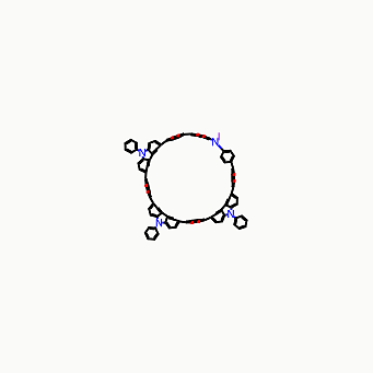 IN1c2ccc(cc2)-c2ccc(cc2)-c2ccc3c(c2)c2cc(ccc2n3-c2ccccc2)-c2ccc(cc2)-c2ccc3c(c2)c2cc(ccc2n3-c2ccccc2)-c2ccc(cc2)-c2ccc3c(c2)c2cc(ccc2n3-c2ccccc2)-c2ccc(cc2)-c2ccc1cc2